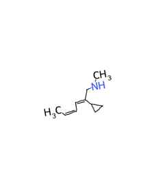 C/C=C\C=C(\CNC)C1CC1